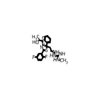 CNC(=N)NNCCC1(c2ccccc2)SC(c2cc(F)ccc2F)=NN1C(=O)[C@H](C)O